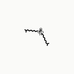 CC(C)CCCCCCCO[PH](=O)OCCCCCCCC(C)C